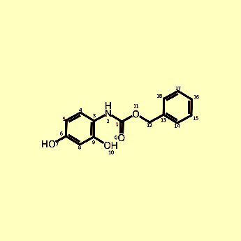 O=C(Nc1ccc(O)cc1O)OCc1ccccc1